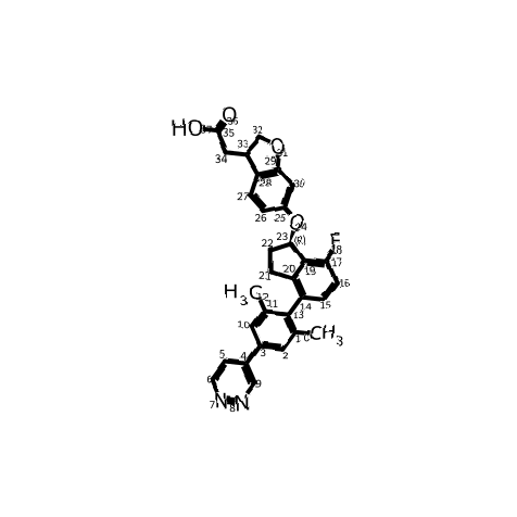 Cc1cc(-c2ccnnc2)cc(C)c1-c1ccc(F)c2c1CC[C@H]2Oc1ccc2c(c1)OCC2CC(=O)O